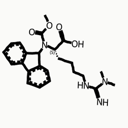 COC(=O)N(C1c2ccccc2-c2ccccc21)[C@@H](CCCCNC(=N)N(C)C)C(=O)O